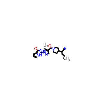 C=CCC(C#N)C1CCN(C(=O)c2cnn(-c3nn4cccc4c(=O)[nH]3)c2C)CC1